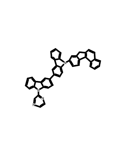 c1ccc2c3c(ccc2c1)Cc1cc(-n2c4ccccc4c4cc(-c5ccc6c(c5)c5ccccc5n6-c5cnccn5)ccc42)ccc1-3